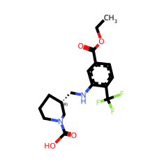 CCOC(=O)c1ccc(C(F)(F)F)c(NC[C@H]2CCCN(C(=O)O)C2)c1